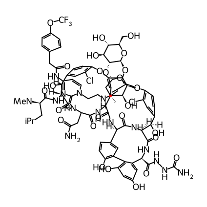 CN[C@H](CC(C)C)C(=O)N[C@H]1C(=O)NC(CC(N)=O)C(=O)NC2C(=O)N[C@H]3C(=O)N[C@H](C(=O)N[C@@H](C(=O)NNC(N)=O)c4cc(O)cc(O)c4-c4cc3ccc4O)[C@H](O)c3ccc(c(Cl)c3)Oc3cc2cc(c3O[C@@H]2O[C@H](CO)[C@@H](O)[C@H](O)[C@H]2O[C@H]2C[C@](C)(NCCn3ccc(NC(=O)Cc4ccc(OC(F)(F)F)cc4)nc3=O)[C@H](O)[C@H](C)O2)Oc2ccc(cc2Cl)[C@H]1O